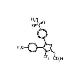 Cc1ccc(-c2c(-c3ccc(S(N)(=O)=O)cc3)nn(CC(=O)O)c2C(F)(F)F)cc1